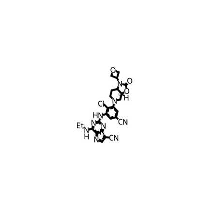 CCNc1nc(Nc2cc(C#N)cc(N3CCC4[C@@H](C3)OC(=O)N4C3COC3)c2Cl)nn2c(C#N)cnc12